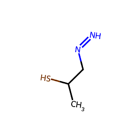 CC(S)CN=N